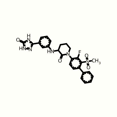 CS(=O)(=O)c1c(-c2ccccc2)ccc(N2CCCC(Nc3cccc(-c4n[nH]c(=O)[nH]4)c3)C2=O)c1F